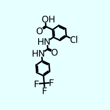 O=C(Nc1ccc(C(F)(F)F)cc1)Nc1cc(Cl)ccc1C(=O)O